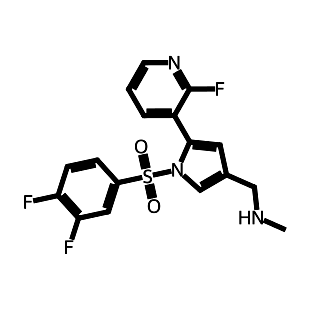 CNCc1cc(-c2cccnc2F)n(S(=O)(=O)c2ccc(F)c(F)c2)c1